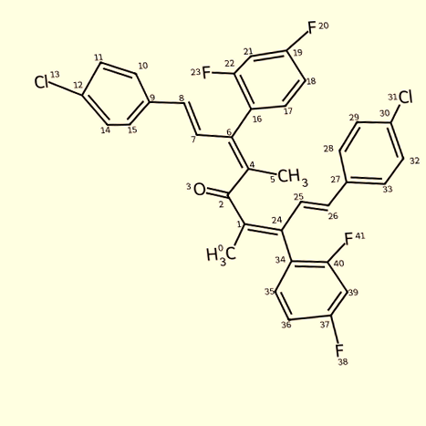 CC(C(=O)C(C)=C(C=Cc1ccc(Cl)cc1)c1ccc(F)cc1F)=C(C=Cc1ccc(Cl)cc1)c1ccc(F)cc1F